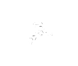 CC1(C)NCCc2cc(Nc3ncc(C(=O)NC4CC4)c(Nc4ccnc(C5(CF)CC5)c4)n3)ccc21